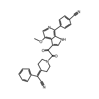 COc1cnc(-c2ccc(C#N)cc2)c2[nH]cc(C(=O)C(=O)N3CCC(=C(C#N)c4ccccc4)CC3)c12